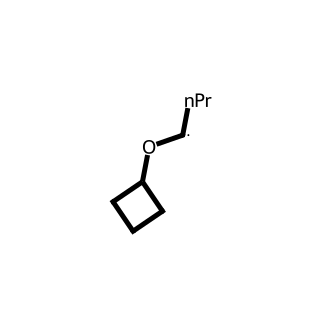 CCC[CH]OC1CCC1